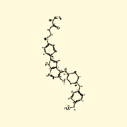 CNC(=O)CCNc1ccc(-c2nc3c(NC4CCN(Cc5ccc(OC)cc5)CC4)c(Cl)cnc3[nH]2)cc1